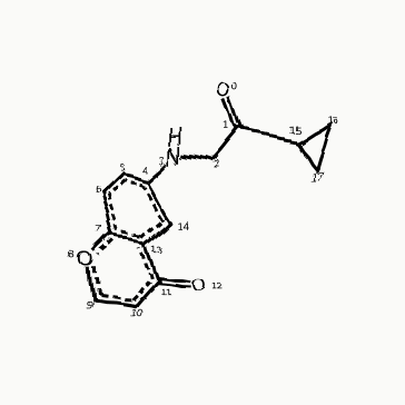 O=C(CNc1ccc2occc(=O)c2c1)C1CC1